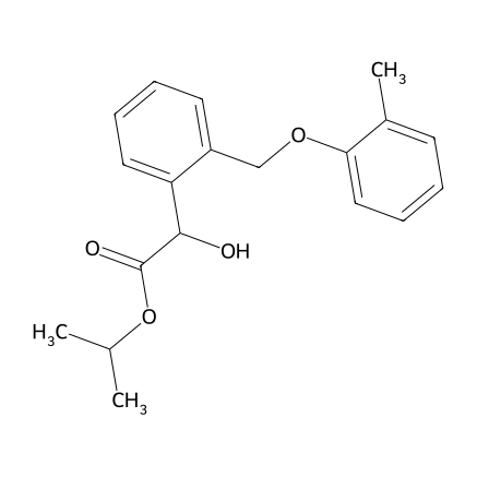 Cc1ccccc1OCc1ccccc1C(O)C(=O)OC(C)C